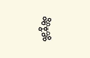 Cc1ccccc1-c1cc(C2C=C([Si](c3ccccc3)(c3ccccc3)c3ccccc3)CCC2)nc(C2C=CC=C([Si](c3ccccc3)(c3ccccc3)c3ccccc3)C2)c1